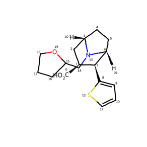 O=C(O)[C@H]1C[C@@H]2CC[C@H]([C@H]1c1cccs1)N2CC1CCCO1